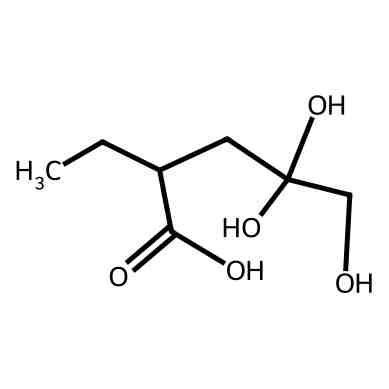 CCC(CC(O)(O)CO)C(=O)O